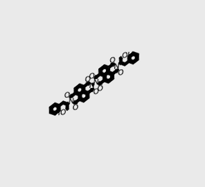 O=C1c2ccc3c4c(ccc(c24)C(=O)N1C(CO)Cc1ccccc1)C(=O)N(N1C(=O)c2ccc4c5c(ccc(c25)C1=O)C(=O)N(C(CO)Cc1ccccc1)C4=O)C3=O